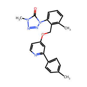 Cc1ccc(-c2cc(OCc3c(C)cccc3-n3nnn(C)c3=O)ccn2)cc1